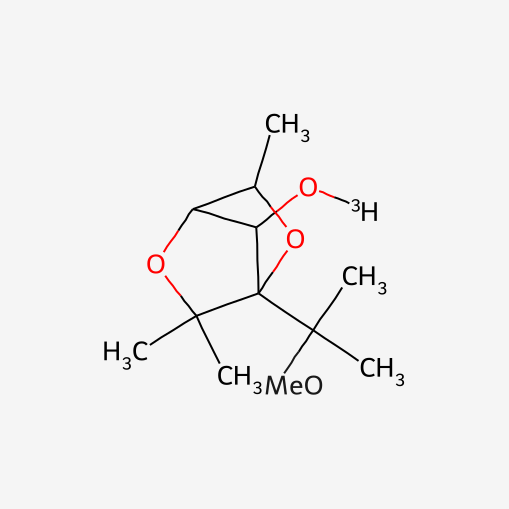 [3H]OC1C2OC(C)(C)C1(C(C)(C)OC)OC2C